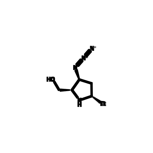 CC[C@H]1C[C@H](N=[N+]=[N-])[C@@H](CO)N1